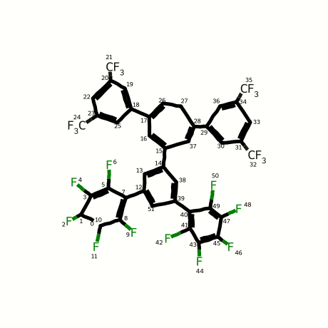 CC(F)/C(F)=C(F)\C(=C(\F)CF)c1cc(C2=CC(c3cc(C(F)(F)F)cc(C(F)(F)F)c3)=CCC(c3cc(C(F)(F)F)cc(C(F)(F)F)c3)=C2)cc(-c2c(F)c(F)c(F)c(F)c2F)c1